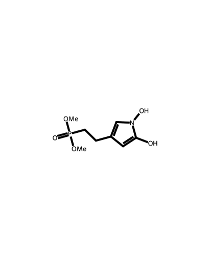 COP(=O)(CCc1cc(O)n(O)c1)OC